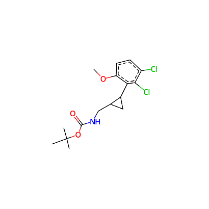 COc1ccc(Cl)c(Cl)c1C1CC1CNC(=O)OC(C)(C)C